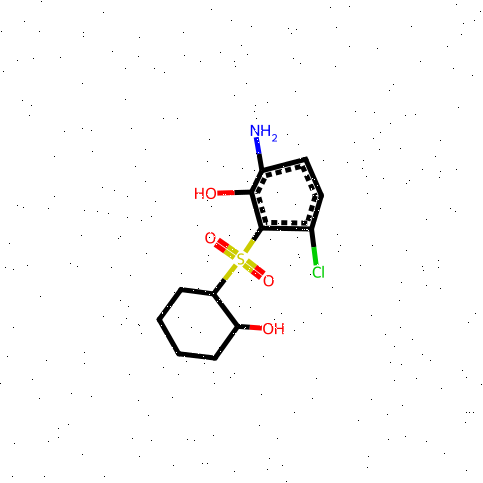 Nc1ccc(Cl)c(S(=O)(=O)C2CCCCC2O)c1O